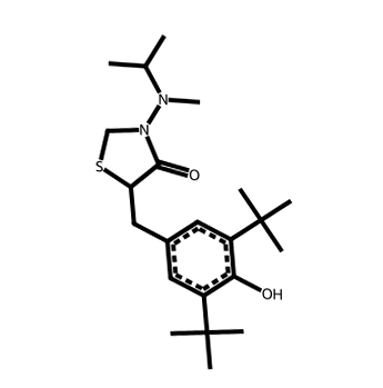 CC(C)N(C)N1CSC(Cc2cc(C(C)(C)C)c(O)c(C(C)(C)C)c2)C1=O